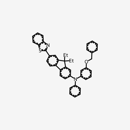 CCC1(CC)c2cc(-c3nc4ccccc4s3)ccc2-c2ccc(N(c3ccccc3)c3cccc(OCc4ccccc4)c3)cc21